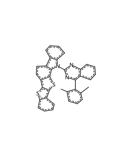 Cc1cccc(C)c1-c1nc(-n2c3ccccc3c3ccc4c5sc6ccccc6c5sc4c32)nc2ccccc12